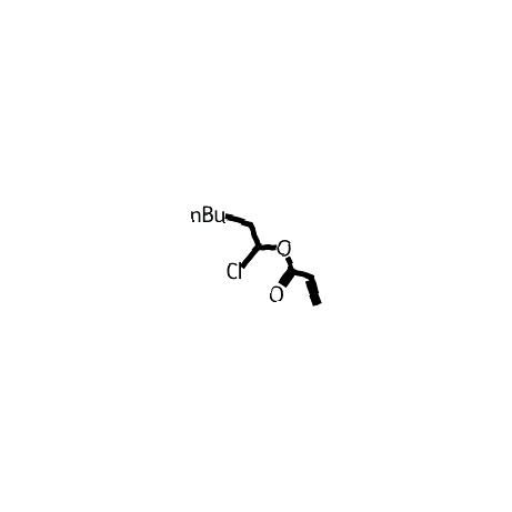 C=CC(=O)OC(Cl)CCCCC